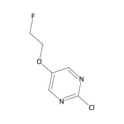 FCCOc1cnc(Cl)nc1